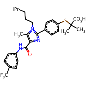 Cc1c(C(=O)Nc2ccc(C(F)(F)F)cc2)nc(-c2ccc(SC(C)(C)C(=O)O)cc2)n1CCCC(C)C